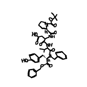 CC(C)C(NC(=O)C(CC(=O)O)NC(=O)[C@H]1CCCN1C(=O)OC(C)(C)C)C(=O)N(Cc1ccccc1)[C@@H](Cc1ccc(O)cc1)C(=O)OCc1ccccc1